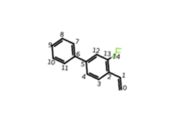 C=Cc1ccc(-c2ccccc2)cc1F